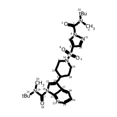 CN(C(=O)n1cc(S(=O)(=O)N2CCC(c3cn(C(=O)N(C)C(C)(C)C)c4ncccc34)CC2)cn1)C(C)(C)C